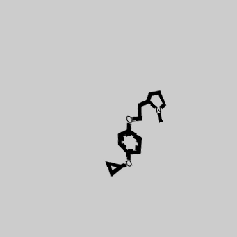 CN1CCCC1CCOc1ccc(OC2CC2)cc1